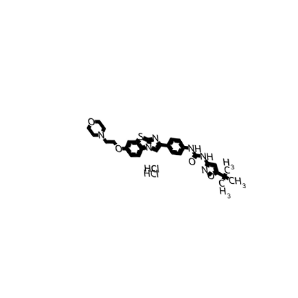 CC(C)(C)c1cc(NC(=O)Nc2ccc(-c3cn4c(n3)sc3cc(OCCN5CCOCC5)ccc34)cc2)no1.Cl.Cl